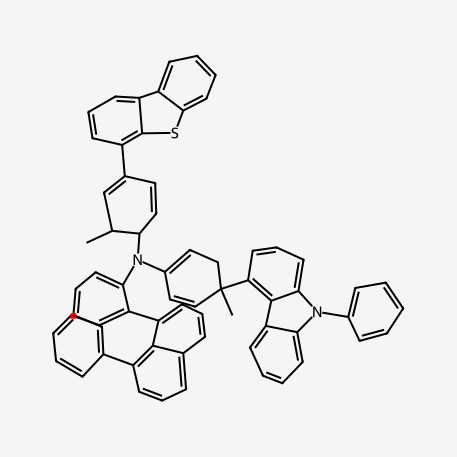 CC1C=C(c2cccc3c2sc2ccccc23)C=CC1N(C1=CCC(C)(c2cccc3c2c2ccccc2n3-c2ccccc2)C=C1)c1ccccc1-c1cccc2cccc(-c3ccccc3)c12